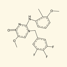 COc1cccc(Nc2nc(=O)c(OC)cn2Cc2cc(F)c(F)c(F)c2)c1C